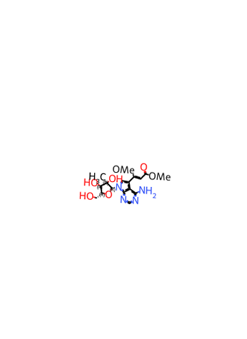 COC(=O)C=C(OC)c1cn([C@@H]2O[C@H](CO)[C@@H](O)[C@@]2(C)O)c2ncnc(N)c12